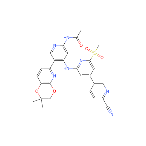 CC(=O)Nc1cc(Nc2cc(-c3ccc(C#N)nc3)cc(S(C)(=O)=O)n2)c(-c2ccc3c(n2)OCC(C)(C)O3)cn1